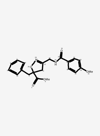 COC(=O)C1(Cc2ccccc2)CC(CNC(=O)c2ccc(OC)cc2)=NO1